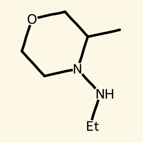 CCNN1CCOCC1C